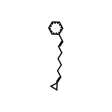 C(=Cc1ccccc1)CCCCC=C1CC1